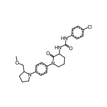 COCC1CCCN1c1ccc(N2CCCC(NC(=O)Nc3ccc(Cl)cc3)C2=O)cc1